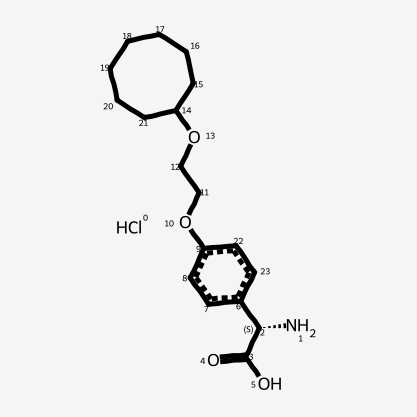 Cl.N[C@H](C(=O)O)c1ccc(OCCOC2CCCCCCC2)cc1